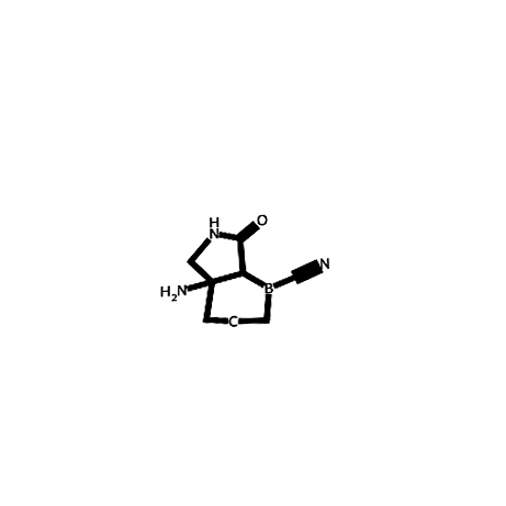 N#CB1CCCC2(N)CNC(=O)C12